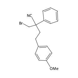 COc1ccc(CCC(C#N)(CBr)c2ccccc2)cc1